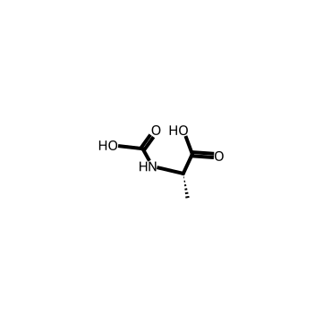 C[C@H](NC(=O)O)C(=O)O